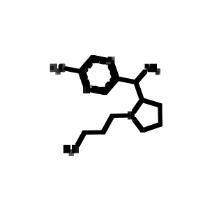 Cc1cnc(C(N)C2CCCN2CCCN)cn1